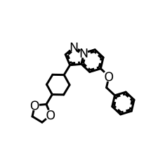 c1ccc(COc2ccn3ncc(C4CCC(C5OCCO5)CC4)c3c2)cc1